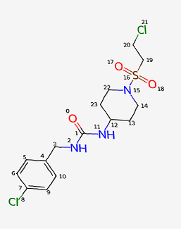 O=C(NCc1ccc(Cl)cc1)NC1CCN(S(=O)(=O)CCCl)CC1